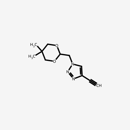 C#Cc1cn(CC2OCC(C)(C)CO2)nn1